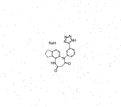 O=C1CC(=O)N(c2cccc(-c3nnn[nH]3)c2)c2ccc3c(c2N1)CCC3.[NaH]